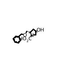 O=C(O)N1C[C@H](O)C[C@H]1COCc1ccccc1